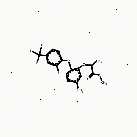 COC(=O)C(C)Oc1cc(C)ccc1Oc1ccc(C(F)(F)F)cc1Cl